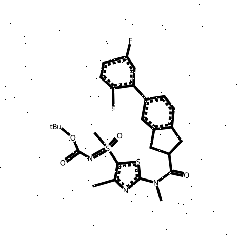 Cc1nc(N(C)C(=O)C2Cc3ccc(-c4cc(F)ccc4F)cc3C2)sc1S(C)(=O)=NC(=O)OC(C)(C)C